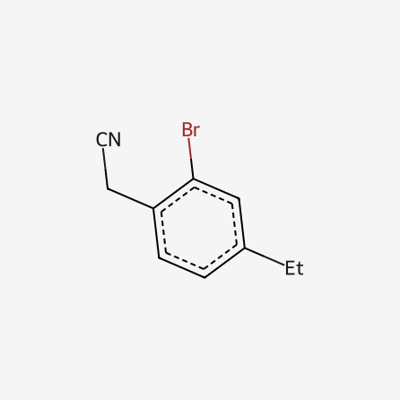 CCc1ccc(CC#N)c(Br)c1